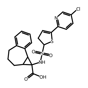 O=C(O)C1(NS(=O)(=O)C2CC=C(c3ccc(Cl)cn3)S2)C2CCCc3ccccc3C21